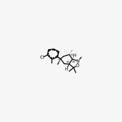 Cc1c(Cl)cccc1[C@@]1(C)C[C@@H]2[C@@H]([C@@H](C)C1)N(C)OC2(C)C